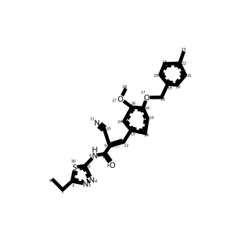 CCc1nnc(NC(=O)/C(C#N)=C/c2ccc(OCc3ccc(C)cc3)c(OC)c2)s1